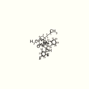 CCCCC1CCN(C(C)C(=O)N[C@@H](Cc2cc(F)cc(F)c2)[C@H](O)C2Cc3ccccc3CN2)C1=O